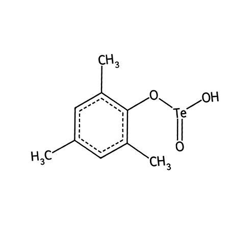 Cc1cc(C)c(O[Te](=O)O)c(C)c1